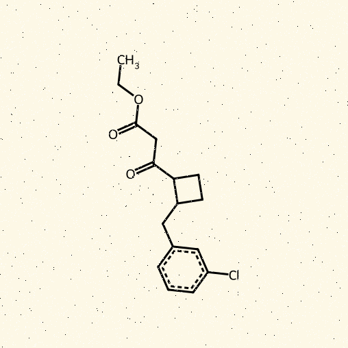 CCOC(=O)CC(=O)C1CCC1Cc1cccc(Cl)c1